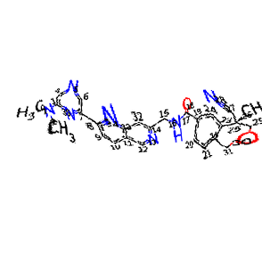 CN(C)c1cncc(-c2ccc3cnc(CNC(=O)c4ccc5c(c4)[C@](C)(C#N)COC5)cc3n2)n1